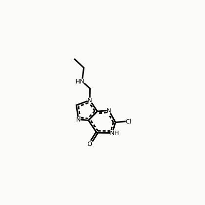 CCNCn1cnc2c(=O)[nH]c(Cl)nc21